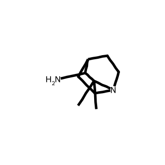 CC1(C)C(N)C2CCN1CC2